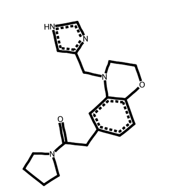 O=C(Cc1ccc2c(c1)N(Cc1c[nH]cn1)CCO2)N1CCCC1